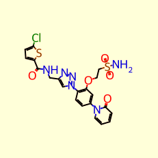 NS(=O)(=O)CCOc1cc(-n2ccccc2=O)ccc1-n1cc(CNC(=O)c2ccc(Cl)s2)nn1